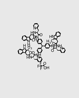 Cc1[nH]c2ccccc2c1CC(=O)N[C@@H](Cc1ccccn1)C(=O)Nc1ccc(C(c2ccc(NC(=O)[C@H](Cc3ccccn3)NC(=O)Cc3c(C)[nH]c4ccccc34)cc2)c2ccc(NC(=O)[C@H](Cc3ccccn3)NC(=O)Cc3c(C)[nH]c4ccccc34)cc2)cc1.O=C(O)C(F)(F)F